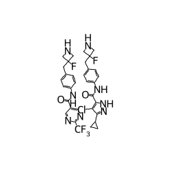 O=C(Nc1ccc(CC2(F)CNC2)cc1)c1[nH]nc(C2CC2)c1Cl.O=C(Nc1ccc(CC2(F)CNC2)cc1)c1cnc(C(F)(F)F)nc1